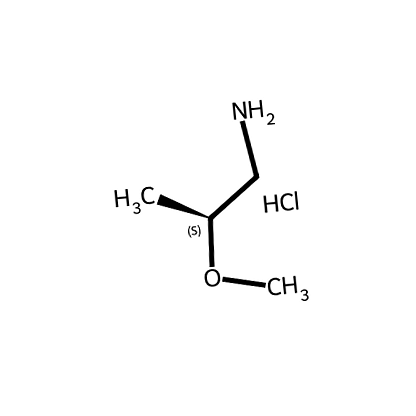 CO[C@@H](C)CN.Cl